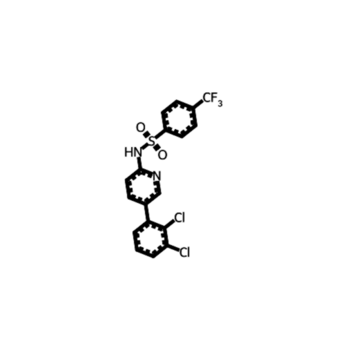 O=S(=O)(Nc1ccc(-c2cccc(Cl)c2Cl)cn1)c1ccc(C(F)(F)F)cc1